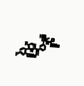 CNC(=O)N=[SH](C)(O)Cc1cccc(Nc2ncc(F)c(-c3ccc(F)cc3OC)n2)c1